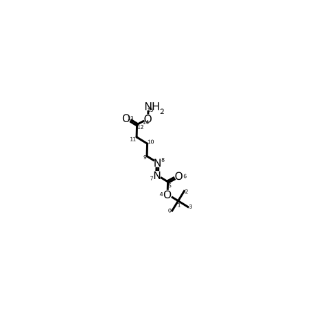 CC(C)(C)OC(=O)N=NCCCC(=O)ON